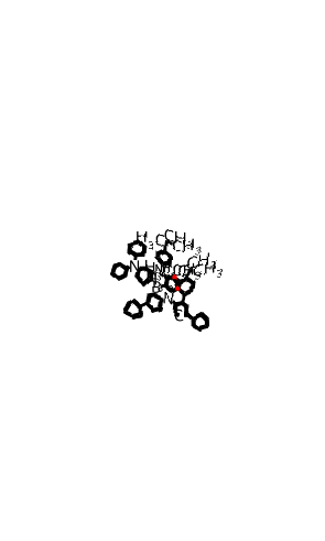 CC(C)(C)c1ccc(N2c3cc(N(c4ccccc4)c4ccccc4)ccc3B3c4cc(-c5ccccc5)ccc4N(c4ccc(-c5ccccc5)cc4-c4ccc(C(C)(C)C)c(C(C)(C)C)c4)c4cccc2c43)cc1